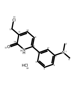 CN(C)c1cccc(-c2ccc(CCl)c(=O)[nH]2)c1.Cl